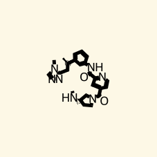 CN[C@H]1CCN(C(=O)c2ccnc(C(=O)Nc3cccc([C@H](C)Cc4nncn4C)c3)c2)C1